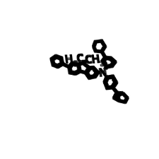 CC1(C)c2cc(-c3ccccc3)ccc2-c2ccc(N(c3ccc(C4CC5CCC4C5)cc3)c3cccc(C4CCCCC4)c3)cc21